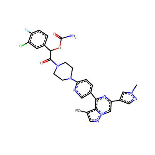 Cn1cc(-c2cn3ncc(C#N)c3c(-c3ccc(N4CCN(C(=O)C(OC(N)=O)c5ccc(F)c(Cl)c5)CC4)nc3)n2)cn1